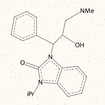 CNCC(O)C(c1ccccc1)n1c(=O)n(C(C)C)c2ccccc21